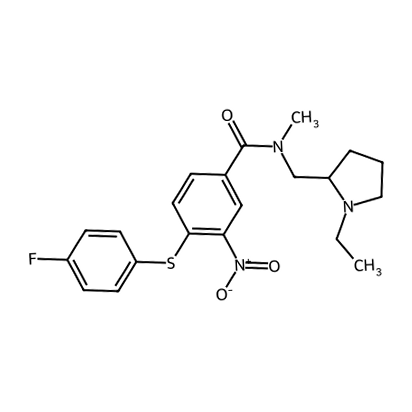 CCN1CCCC1CN(C)C(=O)c1ccc(Sc2ccc(F)cc2)c([N+](=O)[O-])c1